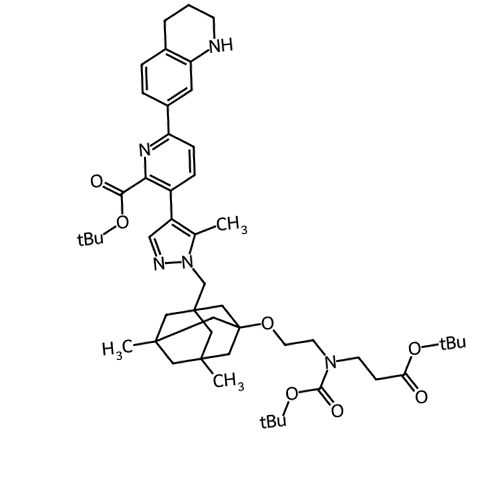 Cc1c(-c2ccc(-c3ccc4c(c3)NCCC4)nc2C(=O)OC(C)(C)C)cnn1CC12CC3(C)CC(C)(C1)CC(OCCN(CCC(=O)OC(C)(C)C)C(=O)OC(C)(C)C)(C3)C2